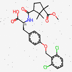 COC(=O)C1(C)CCC(C(=O)N[C@@H](Cc2ccc(OCc3c(Cl)cccc3Cl)cc2)C(=O)O)C1(C)C